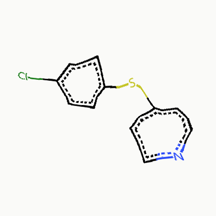 Clc1ccc(Sc2ccncc2)cc1